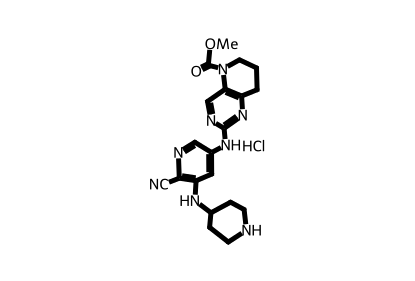 COC(=O)N1CCCc2nc(Nc3cnc(C#N)c(NC4CCNCC4)c3)ncc21.Cl